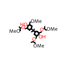 COCc1cc(C(C)(C)c2cc(COC(C)COC)c(O)c(COC(C)COC)c2)cc(COC(C)COC)c1O